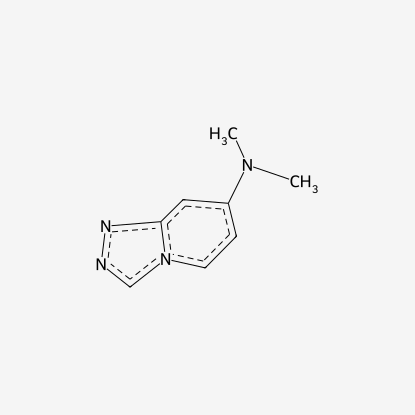 CN(C)c1ccn2cnnc2c1